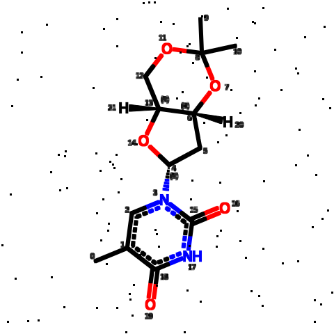 Cc1cn([C@H]2C[C@H]3OC(C)(C)OC[C@H]3O2)c(=O)[nH]c1=O